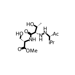 COC(=O)[C@H](CO)NC(=O)[C@@H](NN[C@H](C(C)=O)C(C)C)[C@@H](C)O